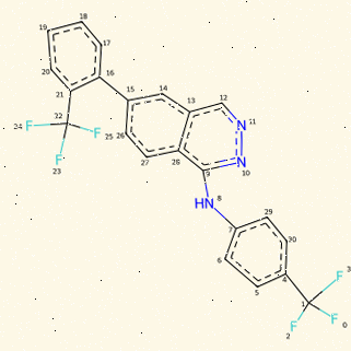 FC(F)(F)c1ccc(Nc2nncc3cc(-c4ccccc4C(F)(F)F)ccc23)cc1